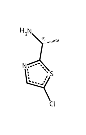 C[C@@H](N)c1ncc(Cl)s1